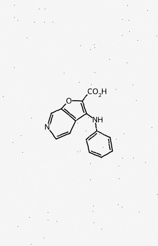 O=C(O)c1oc2cnccc2c1Nc1ccccc1